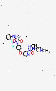 CN1CCC(N(C)C(=O)Nc2cc(Oc3ccc(NC(=O)C4(C(=O)Nc5ccccc5F)CC4)c(F)c3)ccn2)CC1